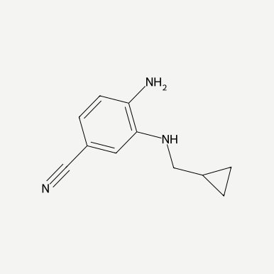 N#Cc1ccc(N)c(NCC2CC2)c1